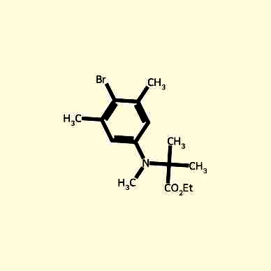 CCOC(=O)C(C)(C)N(C)c1cc(C)c(Br)c(C)c1